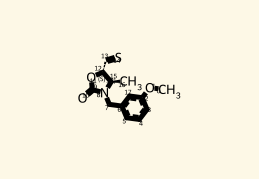 COc1cccc(CN2C(=O)O[C@H](C=S)[C@H]2C)c1